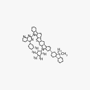 [2H]c1c([2H])c([2H])c(-n2c3cc(-c4ccc5c(c4)C(C)(C)c4ccccc4-5)ccc3c3cc4c(cc32)sc2c4ccc3c4ccccc4n(-c4nc(-c5ccccc5)c5cccnc5n4)c32)c([2H])c1[2H]